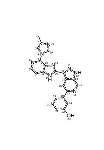 Cc1cn(-c2nccc3[nH]c(-c4n[nH]c5cnc(-c6cncc(O)c6)cc45)nc23)cn1